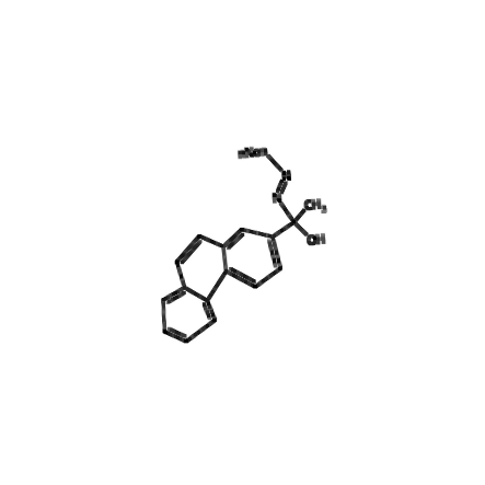 CCCCCCCCCN=NC(C)(O)c1ccc2c(ccc3ccccc32)c1